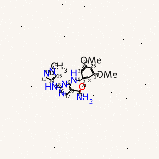 COc1cc(CNc2nc(Nc3cnn(C)c3)ncc2C(N)=O)cc(OC)c1